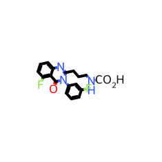 O=C(O)NCCCc1nc2cccc(F)c2c(=O)n1-c1cccc(F)c1